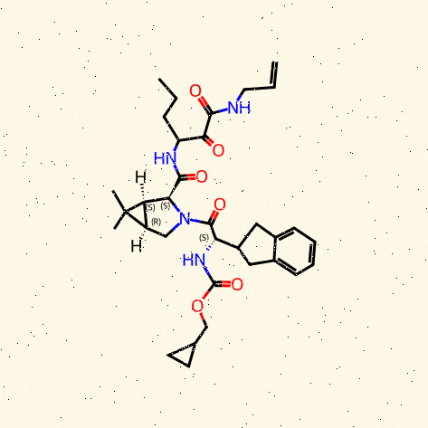 C=CCNC(=O)C(=O)C(CCC)NC(=O)[C@@H]1[C@H]2[C@@H](CN1C(=O)[C@@H](NC(=O)OCC1CC1)C1Cc3ccccc3C1)C2(C)C